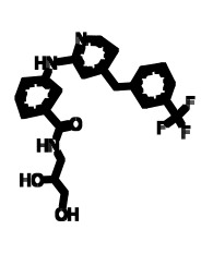 O=C(NCC(O)CO)c1cccc(Nc2cc(Cc3cccc(C(F)(F)F)c3)ccn2)c1